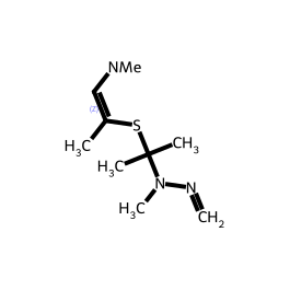 C=NN(C)C(C)(C)S/C(C)=C\NC